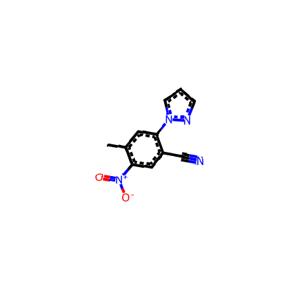 Cc1cc(-n2cccn2)c(C#N)cc1[N+](=O)[O-]